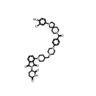 N#Cc1ccc(N2CCC3(CCN(C(=O)c4ccc(N5CCN(CC6CCN(c7cccc8c7C(=O)N(C7CCC(=O)NC7=O)C8=O)CC6)CC5)cc4)CC3)C2)cc1Cl